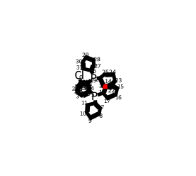 Cl[C]12[CH]3[CH]4[C]5(P(c6ccccc6)c6ccccc6)[C]1(P(c1ccccc1)c1ccccc1)[Fe]34251678[CH]2[CH]1[CH]6[CH]7[CH]28